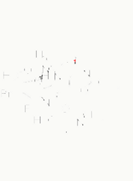 CC(=O)N1CCC[C@@H]1c1cc2c(O[C@@H](C)[C@@H]3CCCN3C)nc3c(F)c(Br)c(C)cc3c2n1[C@H]1[C@@H]2C[C@H]1N(C(=O)O)C2